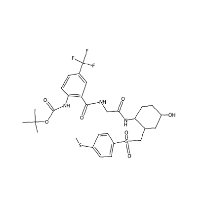 CSc1ccc(S(=O)(=O)CC2CC(O)CCC2NC(=O)CNC(=O)c2cc(C(F)(F)F)ccc2NC(=O)OC(C)(C)C)cc1